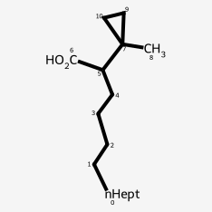 CCCCCCCCCCCC(C(=O)O)C1(C)CC1